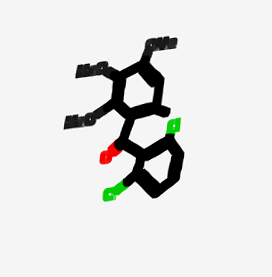 COc1cc(C)c(C(=O)c2c(Cl)cccc2Cl)c(OC)c1OC